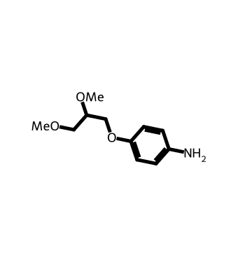 COCC(COc1ccc(N)cc1)OC